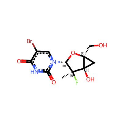 C[C@]1(F)[C@H](n2cc(Br)c(=O)[nH]c2=O)O[C@@]2(CO)C[C@@]21O